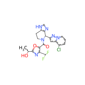 C[C@H](O)c1nc(C(F)F)c(C(=O)N2CCc3[nH]cnc3C2c2cc3c(Cl)cccn3n2)o1